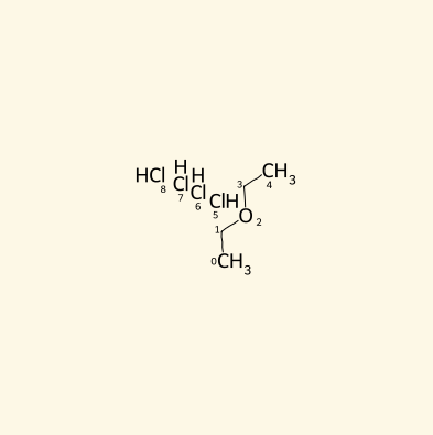 CCOCC.Cl.Cl.Cl.Cl